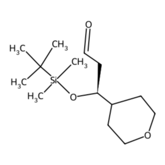 CC(C)(C)[Si](C)(C)O[C@@H](CC=O)C1CCOCC1